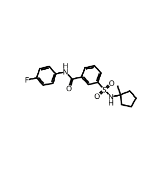 CC1(NS(=O)(=O)c2cccc(C(=O)Nc3ccc(F)cc3)c2)CCCC1